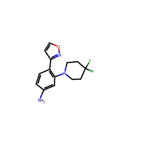 Nc1ccc(-c2ccon2)c(N2CCC(F)(F)CC2)c1